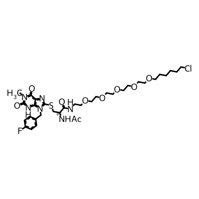 CC(=O)N[C@@H](CSc1nc2c(=O)n(C)c(=O)[nH]c2n1Cc1ccc(F)cc1)C(=O)NCCOCCOCCOCCOCCOCCCCCCCl